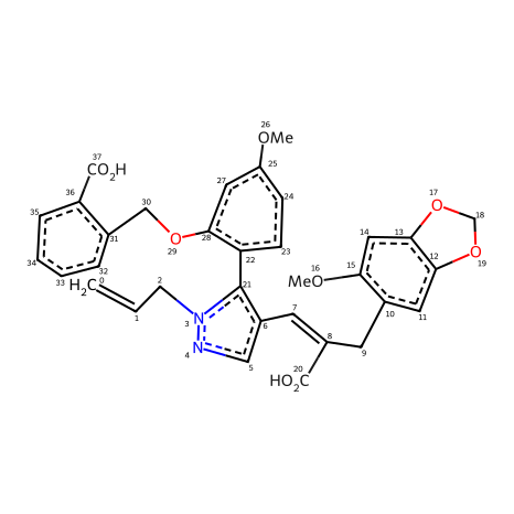 C=CCn1ncc(C=C(Cc2cc3c(cc2OC)OCO3)C(=O)O)c1-c1ccc(OC)cc1OCc1ccccc1C(=O)O